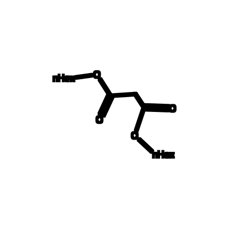 CCCCCCOC(=O)CC(=O)OCCCCCC